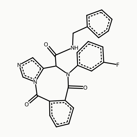 O=C(NCc1ccccc1)C1c2cncn2C(=O)c2ccccc2C(=O)N1c1cccc(F)c1